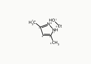 CCO.Cc1cc(C)[nH]n1